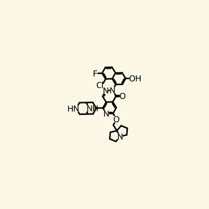 O=c1c2cc(OCC34CCCN3CCC4)nc(C3CC4CNCC(C3)N4)c2cnn1-c1cc(O)cc2ccc(F)c(Cl)c12